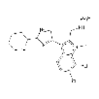 Cn1c(CNC(=O)O)c(C2=NC(C3CCCCO3)N=C2)c2ccc(Cl)c(Cl)c21